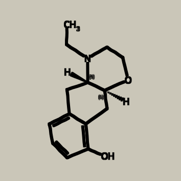 CCN1CCO[C@H]2Cc3c(O)cccc3C[C@@H]21